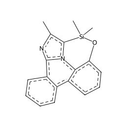 Cc1nc2c3ccccc3c3cccc4c3n2c1[Si](C)(C)O4